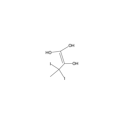 CC(I)(I)C(O)=C(O)O